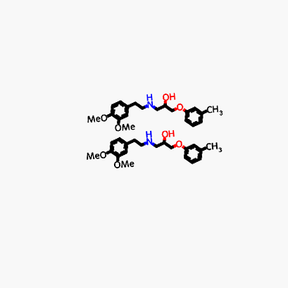 COc1ccc(CCNCC(O)COc2cccc(C)c2)cc1OC.COc1ccc(CCNCC(O)COc2cccc(C)c2)cc1OC